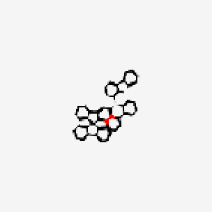 c1ccc(-c2ccccc2N(c2ccc3c(c2)-c2ccccc2C32c3ccccc3-c3ccccc32)c2cccc3c2oc2ccccc23)cc1